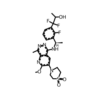 COc1nc2c(C)nnc(N[C@H](C)c3cccc(C(F)(F)C(C)O)c3F)c2cc1N1CCS(=O)(=O)CC1